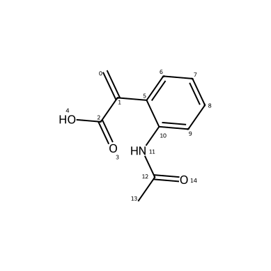 C=C(C(=O)O)c1ccccc1NC(C)=O